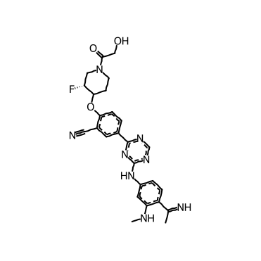 CNc1cc(Nc2ncnc(-c3ccc(OC4CCN(C(=O)CO)C[C@H]4F)c(C#N)c3)n2)ccc1C(C)=N